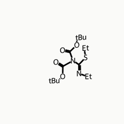 CCN=C(SCC)N(C(=O)OC(C)(C)C)C(=O)OC(C)(C)C